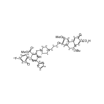 COC(=O)C1=C(CN2CCN(CCCOc3cc4c(cc3OC)-c3cc(=O)c(C(=O)O)cn3C(C(C)(C)C)C4)CC2)NC(c2nccs2)=N[C@H]1c1ccc(F)cc1Cl